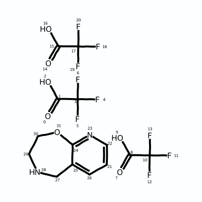 O=C(O)C(F)(F)F.O=C(O)C(F)(F)F.O=C(O)C(F)(F)F.c1cnc2c(c1)CNCCO2